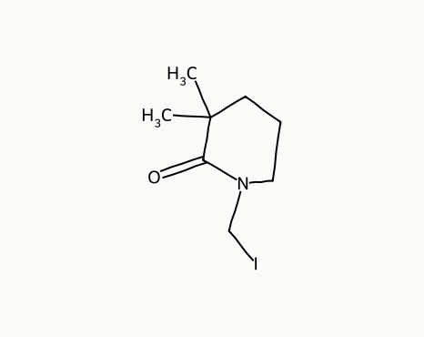 CC1(C)CCCN(CI)C1=O